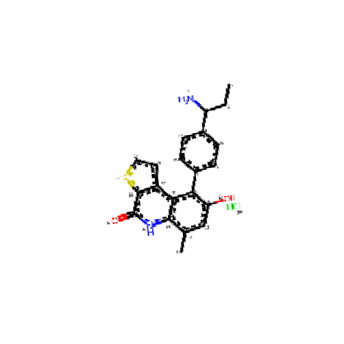 CCC(N)c1ccc(-c2c(O)cc(C)c3[nH]c(=O)c4sccc4c23)cc1.Cl